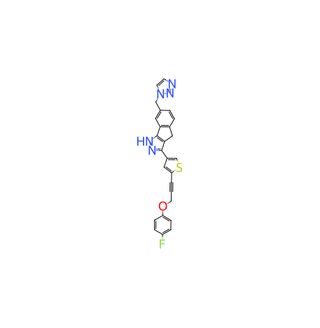 Fc1ccc(OCC#Cc2cc(-c3n[nH]c4c3Cc3ccc(Cn5ccnn5)cc3-4)cs2)cc1